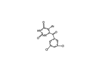 CC(C)c1c(C(=O)c2cc(Cl)cc(Cl)c2)[nH]c(=O)[nH]c1=O